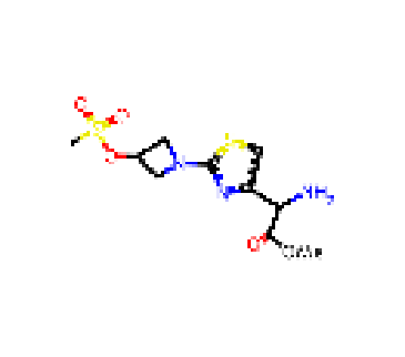 COC(=O)C(N)c1csc(N2CC(OS(C)(=O)=O)C2)n1